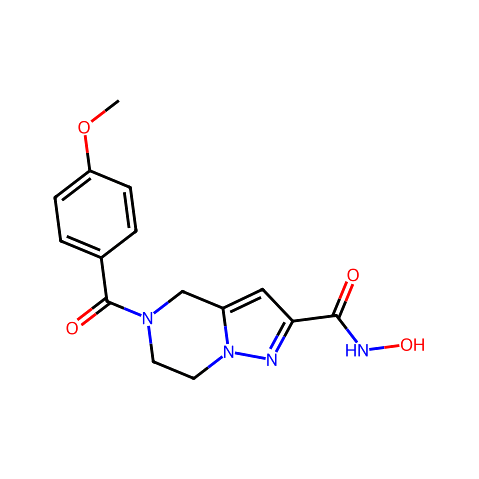 COc1ccc(C(=O)N2CCn3nc(C(=O)NO)cc3C2)cc1